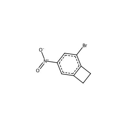 O=[N+]([O-])c1cc(Br)c2c(c1)CC2